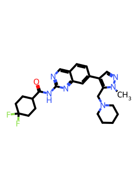 Cn1ncc(-c2ccc3cnc(NC(=O)C4CCC(F)(F)CC4)nc3c2)c1CN1CCCCC1